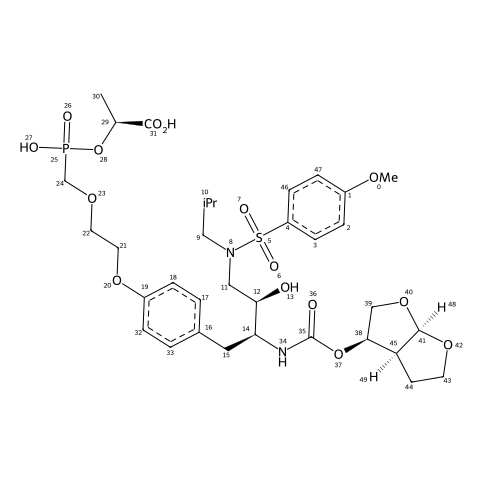 COc1ccc(S(=O)(=O)N(CC(C)C)C[C@@H](O)[C@H](Cc2ccc(OCCOCP(=O)(O)O[C@@H](C)C(=O)O)cc2)NC(=O)O[C@H]2CO[C@H]3OCC[C@H]32)cc1